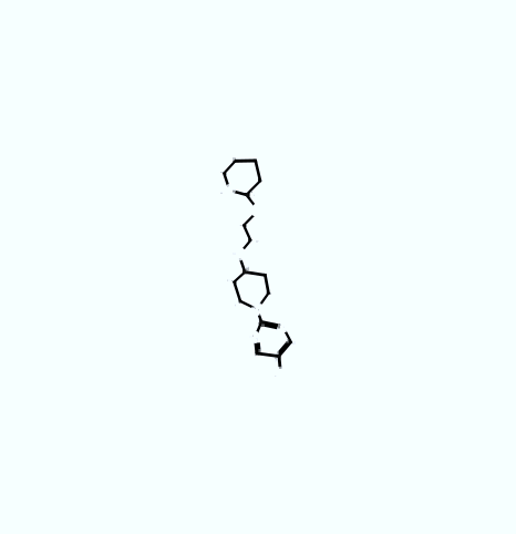 CCc1cnc(N2CCC(OCCOC3CCCCO3)CC2)nc1